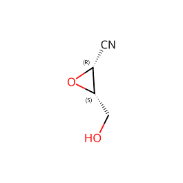 N#C[C@H]1O[C@H]1CO